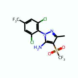 Cc1nn(-c2c(Cl)cc(C(F)(F)F)cc2Cl)c(N)c1S(=O)(=O)C(F)(F)F